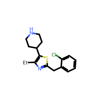 CCc1nc(Cc2ccccc2Cl)sc1C1CCNCC1